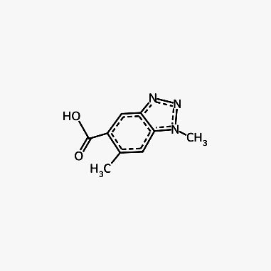 Cc1cc2c(cc1C(=O)O)nnn2C